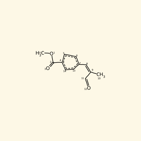 COC(=O)c1ccc(C=C(C)C=O)cc1